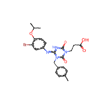 Cc1ccc(Cn2c(=O)n(CCC(=O)O)c(=O)[nH]/c2=N\c2ccc(OC(C)C)c(Br)c2)cc1